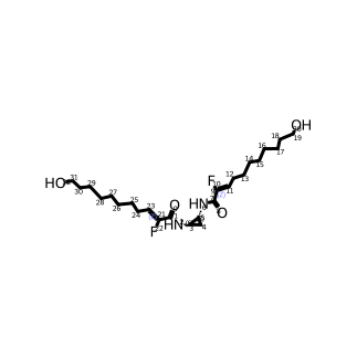 O=C(N[C@H]1C[C@H]1NC(=O)/C(F)=C/CCCCCCCCO)/C(F)=C/CCCCCCCCO